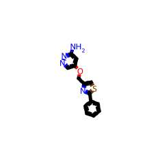 Nc1cc(OCc2csc(-c3ccccc3)n2)cnn1